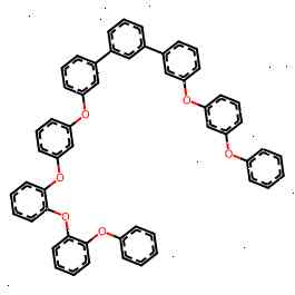 c1ccc(Oc2cccc(Oc3cccc(-c4cccc(-c5cccc(Oc6cccc(Oc7ccccc7Oc7ccccc7Oc7ccccc7)c6)c5)c4)c3)c2)cc1